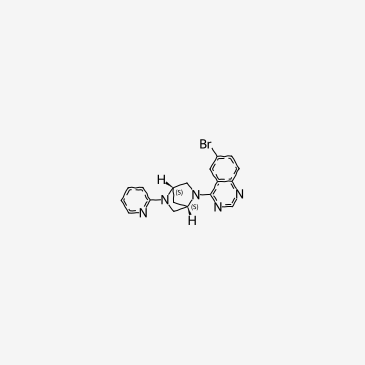 Brc1ccc2ncnc(N3C[C@@H]4C[C@H]3CN4c3ccccn3)c2c1